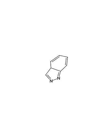 C1=CC2=NN=CC2C=C1